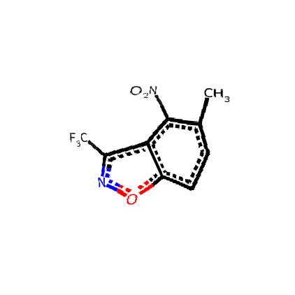 Cc1ccc2onc(C(F)(F)F)c2c1[N+](=O)[O-]